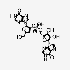 O=c1[nH]cnc2c1ncn2[C@@H]1O[C@H](COP(=O)(O)O[C@@H]2C[C@@H](CO)O[C@H]2n2cnc3c(=O)[nH]cnc32)[C@@H](O)[C@H]1O